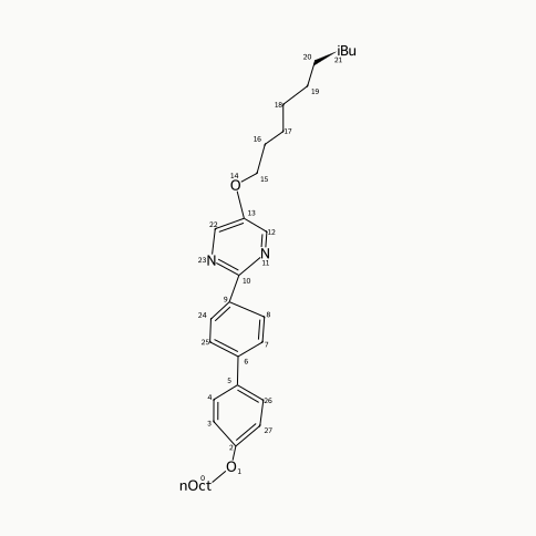 CCCCCCCCOc1ccc(-c2ccc(-c3ncc(OCCCCCC[C@H](C)CC)cn3)cc2)cc1